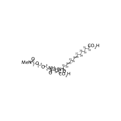 CNC(=O)COCCOCCNC(=O)CC[C@H](NC(=O)CCCCCCCCCCCCCCC(=O)O)C(=O)O